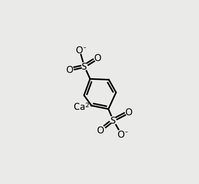 O=S(=O)([O-])c1ccc(S(=O)(=O)[O-])cc1.[Ca+2]